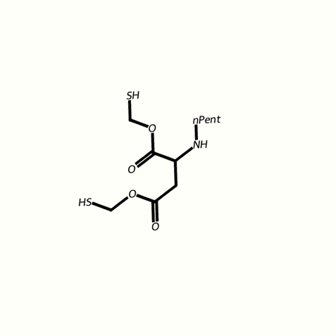 CCCCCNC(CC(=O)OCS)C(=O)OCS